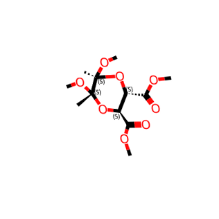 COC(=O)[C@H]1O[C@](C)(OC)[C@@](C)(OC)O[C@@H]1C(=O)OC